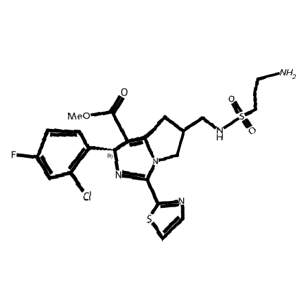 COC(=O)C1=C2CC(CNS(=O)(=O)CCN)CN2C(c2nccs2)=N[C@H]1c1ccc(F)cc1Cl